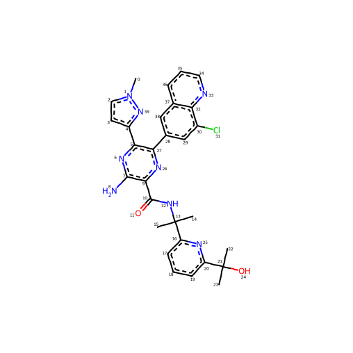 Cn1ccc(-c2nc(N)c(C(=O)NC(C)(C)c3cccc(C(C)(C)O)n3)nc2-c2cc(Cl)c3ncccc3c2)n1